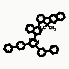 CC1(C)c2cc3ccccc3cc2-c2cccc(-c3ccc(-c4nc(-c5ccc(-c6ccccc6)cc5)cc(-c5cccc(-c6ccccc6)c5)n4)c4ccccc34)c21